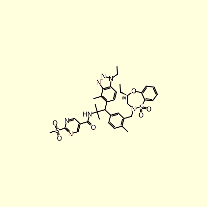 CC[C@@H]1CN(Cc2cc(C(c3ccc4c(nnn4CC)c3C)C(C)(C)NC(=O)c3cnc(S(C)(=O)=O)nc3)ccc2C)S(=O)(=O)c2ccccc2O1